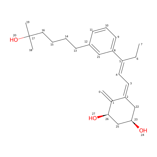 C=C1/C(=C\C=C(/CC)c2cccc(CCCCC(C)(C)O)c2)C[C@@H](O)C[C@H]1O